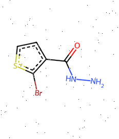 NNC(=O)c1ccsc1Br